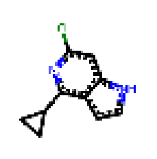 Clc1cc2[nH]ccc2c(C2CC2)n1